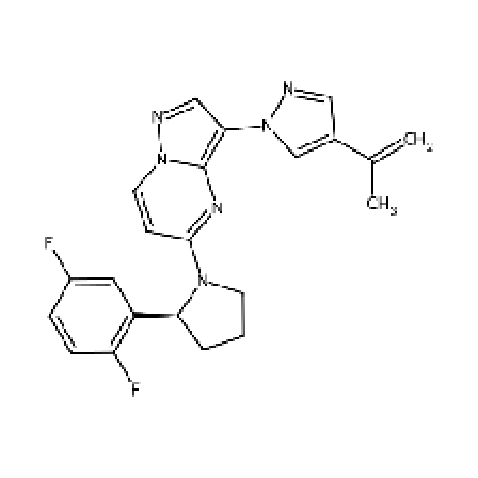 C=C(C)c1cnn(-c2cnn3ccc(N4CCC[C@H]4c4cc(F)ccc4F)nc23)c1